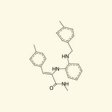 CNC(=O)C(=Cc1ccc(C)cc1)Nc1ccccc1NCc1ccc(C)cc1